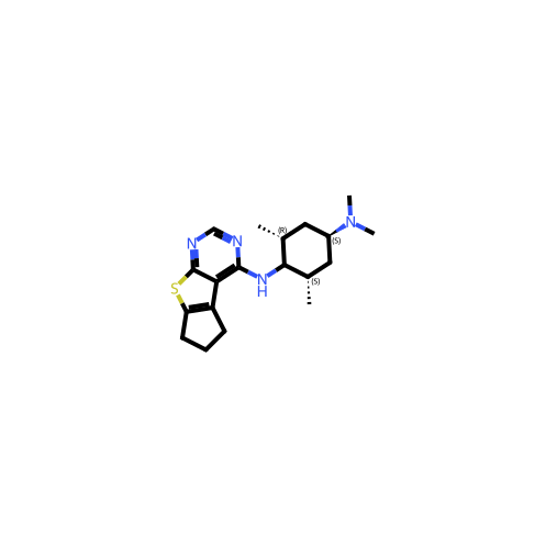 C[C@@H]1C[C@@H](N(C)C)C[C@H](C)C1Nc1ncnc2sc3c(c12)CCC3